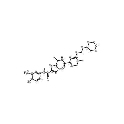 CC(NC(=O)C1=NCN(C)C(CCCN2CCOCC2)=C1)c1ncc(C(=O)Nc2cc(C(F)(F)F)c(Cl)cn2)s1